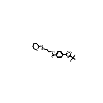 O=C(NCCNOC1CCCCO1)c1ccc(-c2noc(C(F)(F)F)n2)cc1